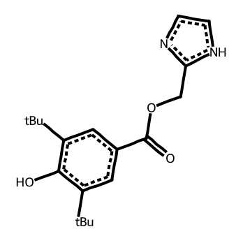 CC(C)(C)c1cc(C(=O)OCc2ncc[nH]2)cc(C(C)(C)C)c1O